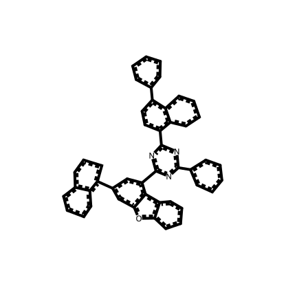 c1ccc(-c2nc(-c3ccc(-c4ccccc4)c4ccccc34)nc(-c3cc(-c4cccc5ccccc45)cc4oc5ccccc5c34)n2)cc1